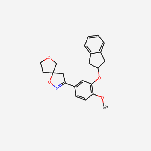 CCCOc1ccc(C2=NOC3(CCOC3)C2)cc1OC1Cc2ccccc2C1